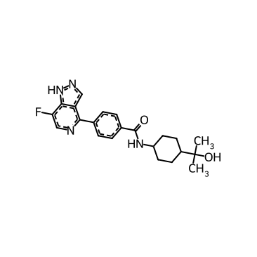 CC(C)(O)C1CCC(NC(=O)c2ccc(-c3ncc(F)c4[nH]ncc34)cc2)CC1